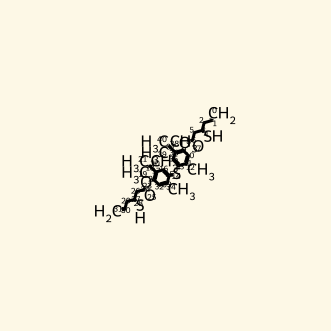 C=CCC(S)CC(=O)Oc1cc(C)c(Sc2cc(C(C)(C)C)c(OC(=O)CC(S)CC=C)cc2C)cc1C(C)(C)C